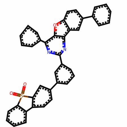 O=S1(=O)c2ccccc2-c2ccc(-c3cccc(-c4nc(-c5ccccc5)c5oc6ccc(-c7ccccc7)cc6c5n4)c3)cc21